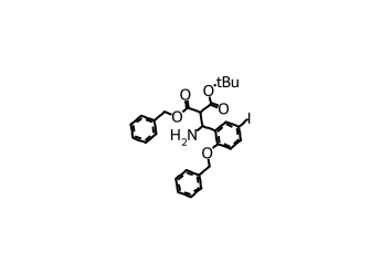 CC(C)(C)OC(=O)C(C(=O)OCc1ccccc1)C(N)c1cc(I)ccc1OCc1ccccc1